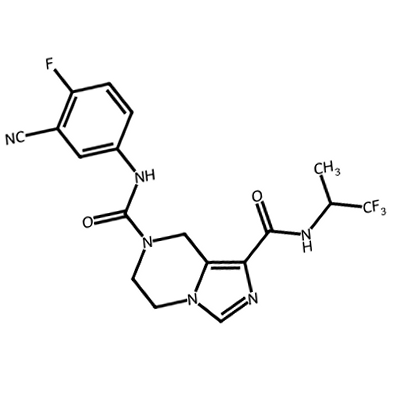 CC(NC(=O)c1ncn2c1CN(C(=O)Nc1ccc(F)c(C#N)c1)CC2)C(F)(F)F